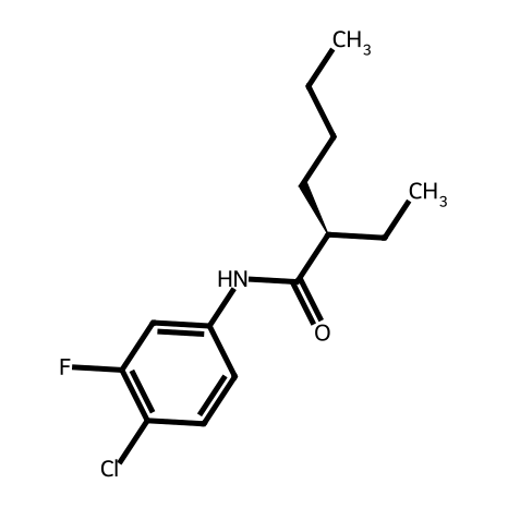 CCCC[C@@H](CC)C(=O)Nc1ccc(Cl)c(F)c1